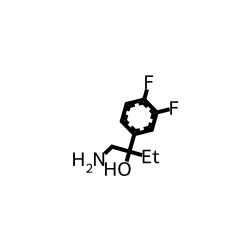 [CH2]CC(O)(CN)c1ccc(F)c(F)c1